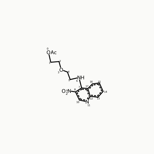 CC(=O)OCCOCCNc1c([N+](=O)[O-])cnc2ccccc12